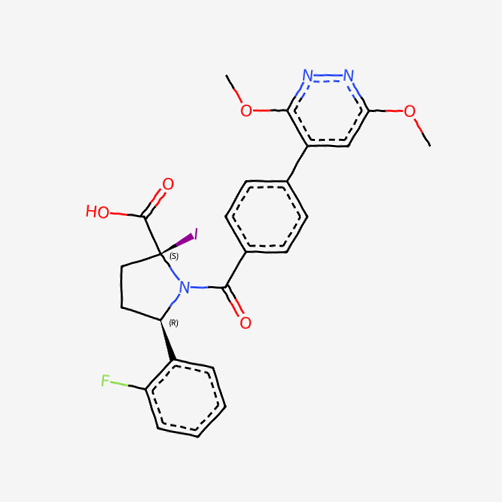 COc1cc(-c2ccc(C(=O)N3[C@@H](c4ccccc4F)CC[C@]3(I)C(=O)O)cc2)c(OC)nn1